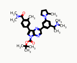 Cc1cc(-c2cn(C(=O)OC(C)(C)C)c3ncc(-c4cc(C(C)N(C)C)cc(N5CCCC5C)c4)nc23)ccc1C(=O)N(C)C